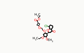 CCCOC(=O)C1CC(OCCOc2cc(OCCC)c(OC)cc2-c2cc(=O)c3cccc(Cl)c3o2)C1